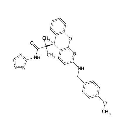 COc1ccc(CNc2ccc3c(n2)Oc2ccccc2[C@@H]3C(C)(C)C(=O)Nc2nncs2)cc1